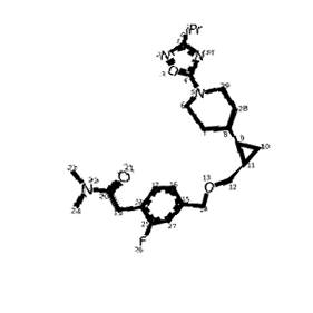 CC(C)c1noc(N2CCC([C@H]3C[C@H]3COCc3ccc(CC(=O)N(C)C)c(F)c3)CC2)n1